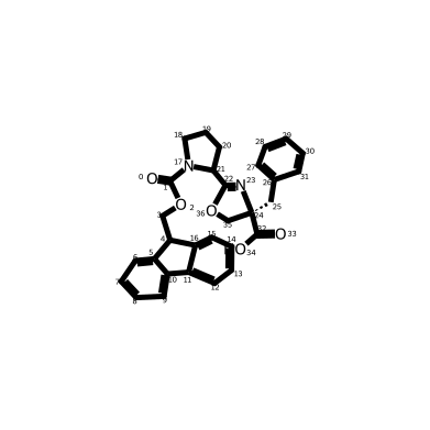 O=C(OCC1c2ccccc2-c2ccccc21)N1CCCC1C1=N[C@@](Cc2ccccc2)(C(=O)O)CO1